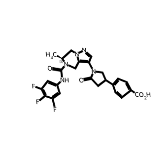 C[C@H]1Cn2ncc(N3CC(c4ccc(C(=O)O)cc4)CC3=O)c2CN1C(=O)Nc1cc(F)c(F)c(F)c1